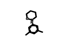 Cc1cc(C)cc([SiH]2CCCCO2)c1